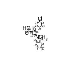 CN(Cc1ccc(F)cc1F)[C@H]1C[C@@H](C(=O)O)N(Cc2cccc(Cl)c2)C1